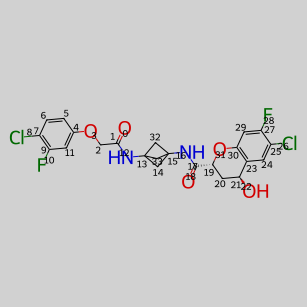 O=C(COc1ccc(Cl)c(F)c1)NC12CC(NC(=O)[C@H]3C[C@H](O)c4cc(Cl)c(F)cc4O3)(C1)C2